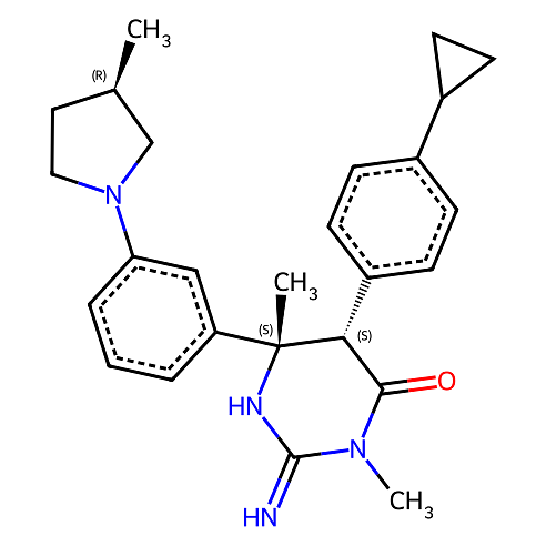 C[C@@H]1CCN(c2cccc([C@@]3(C)NC(=N)N(C)C(=O)[C@H]3c3ccc(C4CC4)cc3)c2)C1